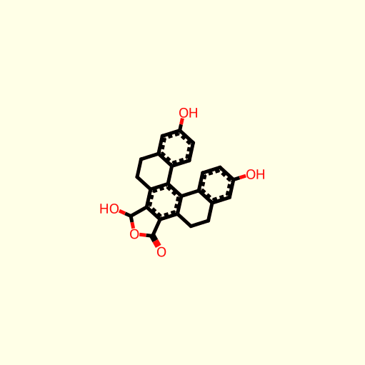 O=C1OC(O)c2c3c(c4c(c21)CCc1cc(O)ccc1-4)-c1ccc(O)cc1CC3